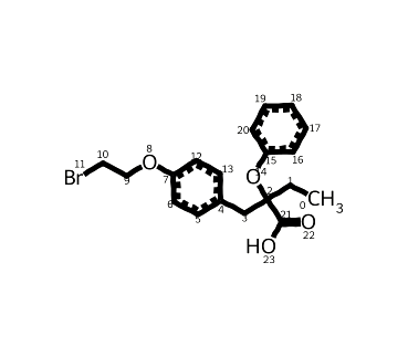 CCC(Cc1ccc(OCCBr)cc1)(Oc1ccccc1)C(=O)O